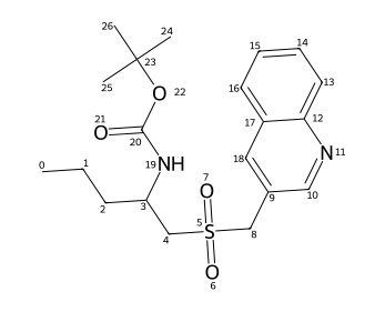 CCCC(CS(=O)(=O)Cc1cnc2ccccc2c1)NC(=O)OC(C)(C)C